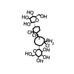 BC1(Cl)CCC(C2CCC([C@H]3O[C@H](CO)[C@@H](O)[C@H](O)[C@@H]3O)CC2(C)Cl)CCCC([C@H]2O[C@H](CO)[C@@H](O)[C@H](O)[C@@H]2O)C1